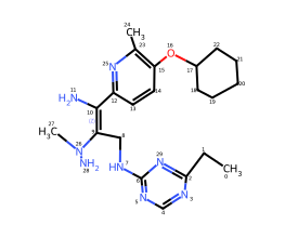 CCc1ncnc(NC/C(=C(/N)c2ccc(OC3CCCCC3)c(C)n2)N(C)N)n1